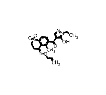 C=CCO/N=C1/CCS(=O)(=O)c2ccc(C(=O)c3cnn(CC)c3O)c(C)c21